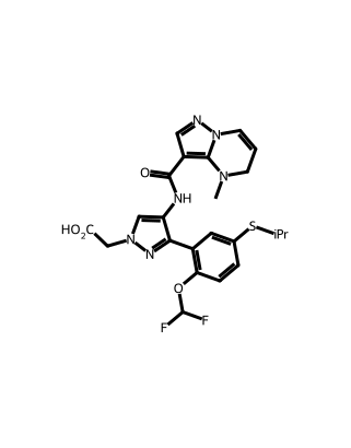 CC(C)Sc1ccc(OC(F)F)c(-c2nn(CC(=O)O)cc2NC(=O)c2cnn3c2N(C)CC=C3)c1